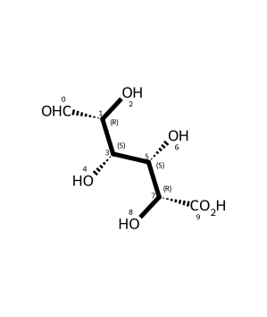 O=C[C@H](O)[C@@H](O)[C@H](O)[C@@H](O)C(=O)O